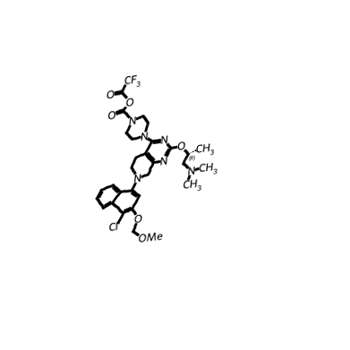 COCOc1cc(N2CCc3c(nc(O[C@H](C)CN(C)C)nc3N3CCN(C(=O)OC(=O)C(F)(F)F)CC3)C2)c2ccccc2c1Cl